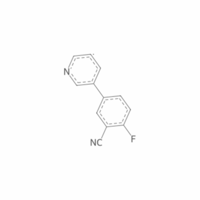 N#Cc1cc(-c2c[c]cnc2)ccc1F